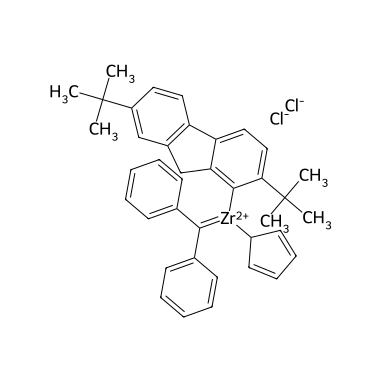 CC(C)(C)c1ccc2c(c1)Cc1c-2ccc(C(C)(C)C)[c]1[Zr+2](=[C](c1ccccc1)c1ccccc1)[CH]1C=CC=C1.[Cl-].[Cl-]